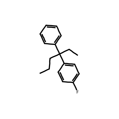 CCCC(CC)(c1ccccc1)c1ccc(F)cc1